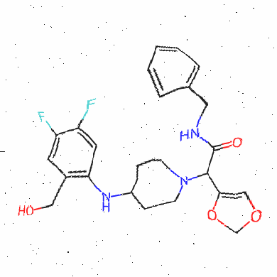 O=C(NCc1ccccc1)C(C1=COCO1)N1CCC(Nc2cc(F)c(F)cc2CO)CC1